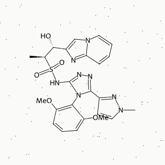 COc1cccc(OC)c1-n1c(NS(=O)(=O)[C@@H](C)[C@H](O)c2cn3ccccc3n2)nnc1-c1ccn(C)n1